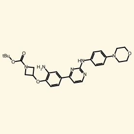 CC(C)(C)OC(=O)N1CC(Oc2ccc(-c3ccnc(Nc4ccc(N5CCOCC5)cc4)n3)cc2N)C1